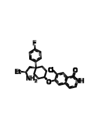 CCC(N)C[C@]1(c2ccc(F)cc2)CC[C@H](Oc2cc3cc[nH]c(=O)c3cc2Cl)CC1